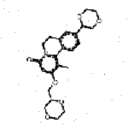 Cc1c(OC[C@@H]2COCCO2)cc(=O)n2c1-c1ccc(C3COCCO3)cc1CC2